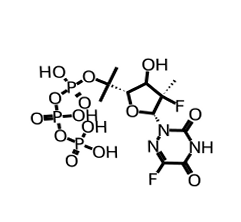 CC(C)(OP(=O)(O)OP(=O)(O)OP(=O)(O)O)[C@H]1O[C@@H](n2nc(F)c(=O)[nH]c2=O)[C@](C)(F)C1O